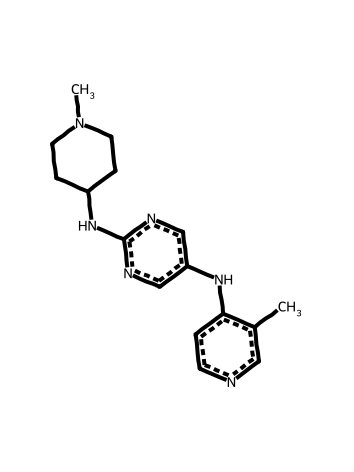 Cc1cnccc1Nc1cnc(NC2CCN(C)CC2)nc1